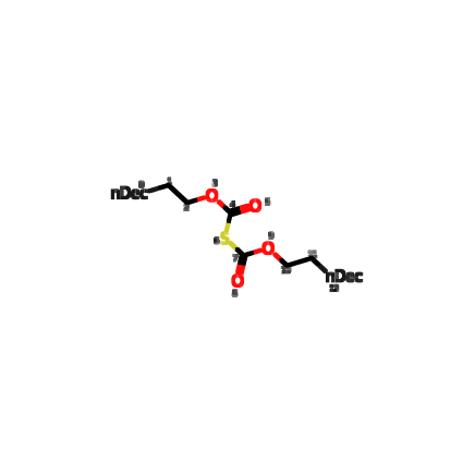 CCCCCCCCCCCCOC(=O)SC(=O)OCCCCCCCCCCCC